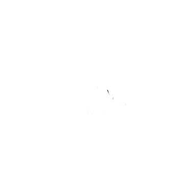 O[C@H]1CCO[C@@H]1COCc1ccccc1